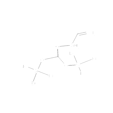 C=C[SiH2]OC(O[Si](CC)(CC)CC)O[Si](CC)(CC)CC